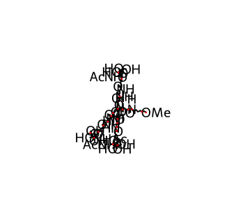 COCCCCCCNC(=O)CCCC(=O)NC(COCCC(=O)NCCCNC(=O)CCCCOC1OC(CO)C(O)C(O)C1NC(C)=O)(COCCC(=O)NCCCNC(=O)CCCCOC1OC(CO)C(O)C(O)C1NC(C)=O)COCCC(=O)NCCCNC(=O)CCCCOC1OC(CO)C(O)C(O)C1NC(C)=O